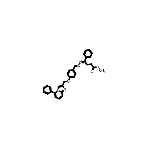 COC(=O)CC/C(=N\OCc1ccc(OCc2cn3c(-c4ccccc4)cccc3n2)cc1)c1ccccc1